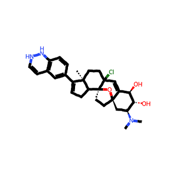 CN(C)[C@H]1C[C@@]23CC[C@]4(O2)C2CC=C(c5ccc6c(c5)C=CNN6)[C@@]2(C)CCC4(Cl)C=C3[C@@H](O)[C@@H]1O